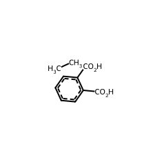 CC.O=C(O)c1ccccc1C(=O)O